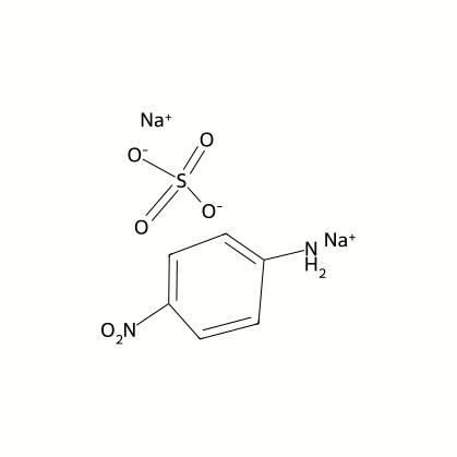 Nc1ccc([N+](=O)[O-])cc1.O=S(=O)([O-])[O-].[Na+].[Na+]